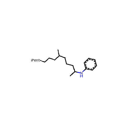 CCCC(C)CCCC(C)CCC[C](C)Nc1ccccc1